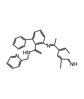 C=C(NCc1ccccn1)c1c(/N=C(C)/C(/C=C(/C)C=N)=C/C)cccc1-c1ccccc1